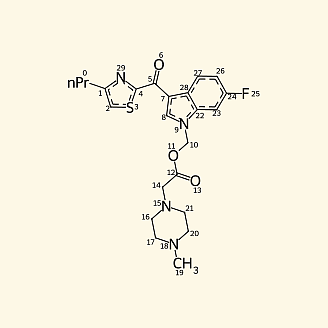 CCCc1csc(C(=O)c2cn(COC(=O)CN3CCN(C)CC3)c3cc(F)ccc23)n1